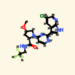 CO[C@@H]1C[C@H](C(=O)NCC(F)(F)F)N(c2ccnc(-c3c[nH]c4ncc(Cl)cc34)n2)C1